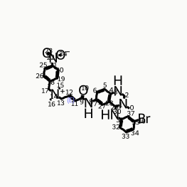 CN1CNc2ccc(NC(=O)/C=C/C[N+](C)(C)Cc3ccc([N+](=O)[O-])cc3)cc2C1Nc1cccc(Br)c1